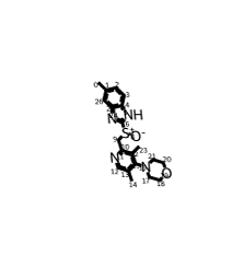 Cc1ccc2[nH]c([S+]([O-])Cc3ncc(C)c(N4CCOCC4)c3C)nc2c1